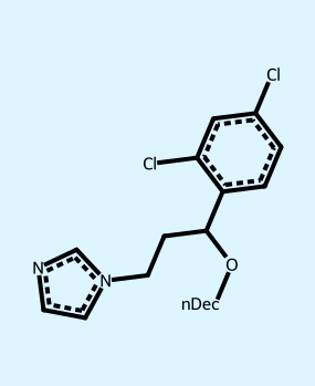 CCCCCCCCCCOC(CCn1ccnc1)c1ccc(Cl)cc1Cl